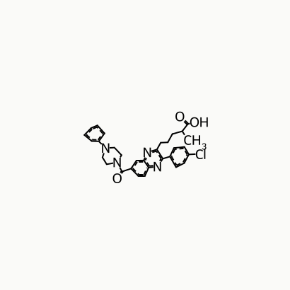 CC(CCCc1nc2cc(C(=O)N3CCN(c4ccccc4)CC3)ccc2nc1-c1ccc(Cl)cc1)C(=O)O